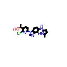 Cc1ccc(Nc2ccc3c(c2)ncn3-c2ccc(C(C)O)c(Cl)n2)[nH]1